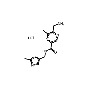 Cc1ncc(CNC(=O)c2cnc(CN)c(C)n2)s1.Cl